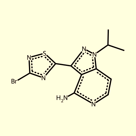 CC(C)n1nc(-c2nc(Br)ns2)c2c(N)nccc21